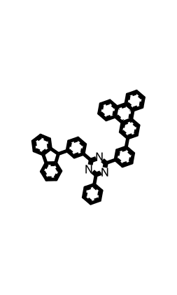 c1ccc(-c2nc(-c3cccc(-c4ccc5c6ccccc6c6ccccc6c5c4)c3)nc(-c3cccc(C4c5ccccc5-c5ccccc54)c3)n2)cc1